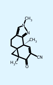 Cn1cc2c(n1)[C@@]1(C)C=C(C#N)C(=O)[C@]3(C)C[C@]31CC2